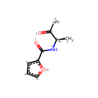 [CH2]CCC(=O)[C@@H](C)NC(=O)c1ccco1